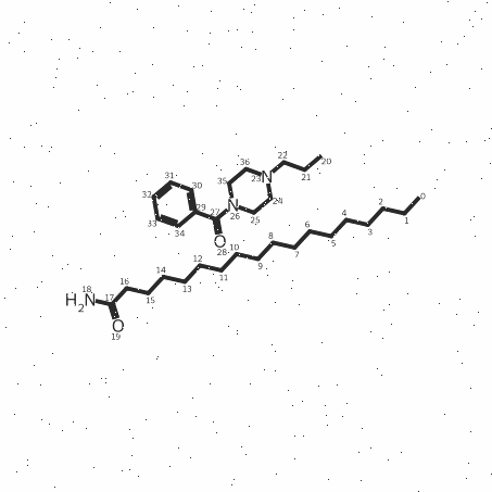 CCCCCCCCCCCCCCCCCC(N)=O.CCCN1CCN(C(=O)c2ccccc2)CC1